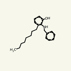 CCCCCCCCc1cccc(O)c1NCc1ccccc1